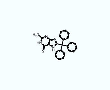 Nc1nc2nc(C(c3ccccc3)(c3ccccc3)c3ccccc3)[nH]c2c(=S)[nH]1